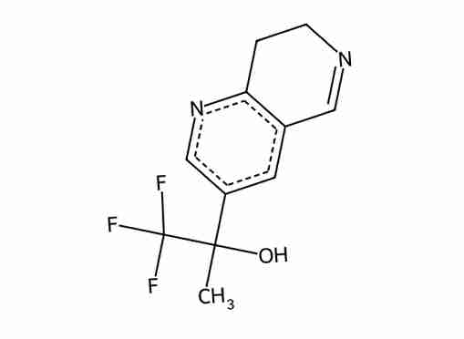 CC(O)(c1cnc2c(c1)C=NCC2)C(F)(F)F